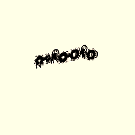 O=C(CN1CCOCC1)N1CCC(c2ccc(NC(=O)N3CC(c4cccnc4)C3)cc2)CC1